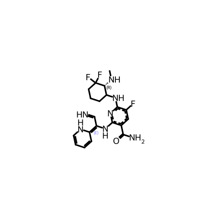 CN[C@@H]1C(Nc2nc(N/C(C=N)=C3\C=CC=CN3)c(C(N)=O)cc2F)CCCC1(F)F